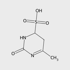 CC1=NC(=O)NC(S(=O)(=O)O)C1